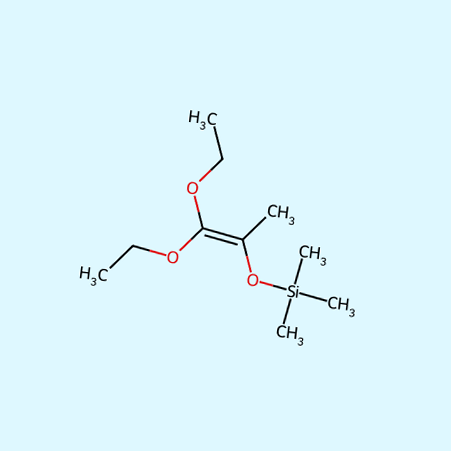 CCOC(OCC)=C(C)O[Si](C)(C)C